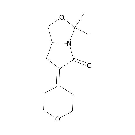 CC1(C)OCC2CC(=C3CCOCC3)C(=O)N21